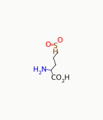 NC(CCC[SH](=O)=O)C(=O)O